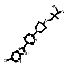 CC(C)(COC1CCN(c2ccc(-c3nc4cc(Cl)cnc4[nH]3)cn2)CC1)C(=O)O